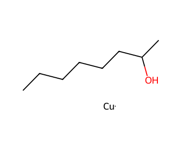 CCCCCCC(C)O.[Cu]